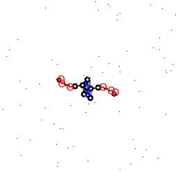 c1coc(OCCCOc2ccc(-c3cc4c5c(c3)-n3c6ccccc6c6cc(-c7ccc(OCCCOc8ccco8)cc7)cc(c63)B5c3cccc5c6ccccc6n-4c35)cc2)c1